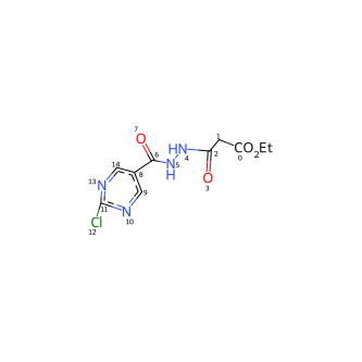 CCOC(=O)CC(=O)NNC(=O)c1cnc(Cl)nc1